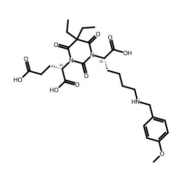 CCC1(CC)C(=O)N([C@@H](CCCCNCc2ccc(OC)cc2)C(=O)O)C(=O)N([C@@H](CCC(=O)O)C(=O)O)C1=O